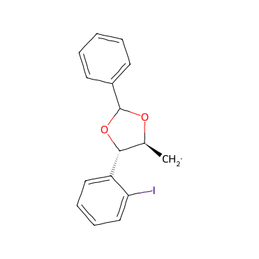 [CH2][C@@H]1OC(c2ccccc2)O[C@H]1c1ccccc1I